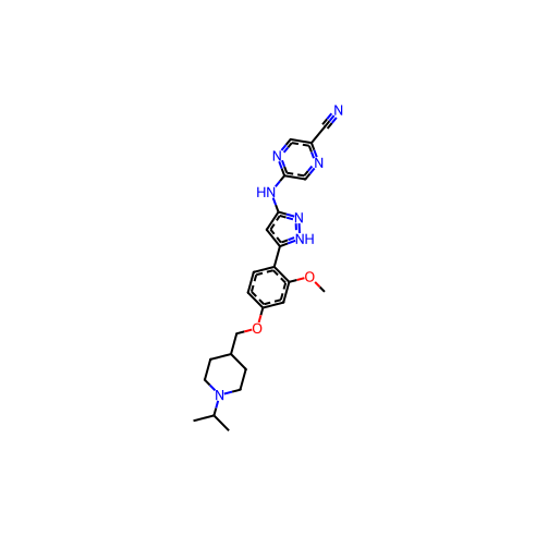 COc1cc(OCC2CCN(C(C)C)CC2)ccc1-c1cc(Nc2cnc(C#N)cn2)n[nH]1